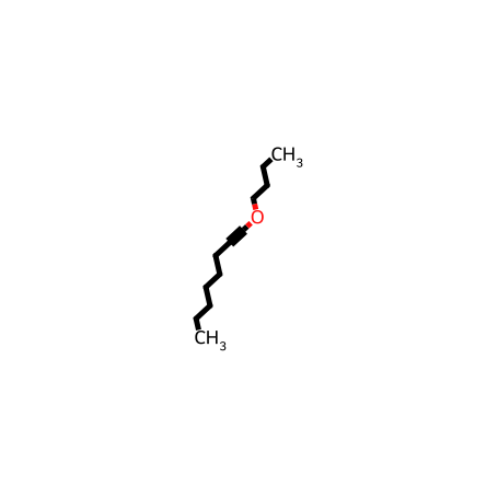 CCCCCCC#COCCCC